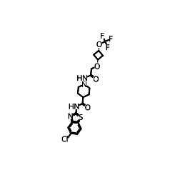 O=C(CO[C@H]1C[C@@H](OC(F)(F)F)C1)NN1CCC(C(=O)Nc2nc3cc(Cl)ccc3s2)CC1